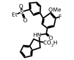 CCS(=O)(=O)c1cccc(-c2cc(C(=O)NC3(C(=O)O)Cc4ccccc4C3)cc(F)c2OC)c1